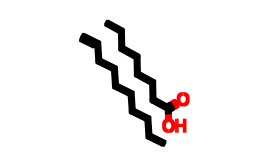 C=CCCCCCCCC.CCCCCCCC(=O)O